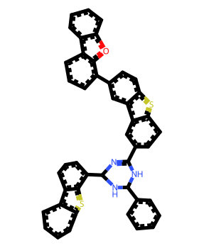 c1ccc(C2NC(c3ccc4sc5ccc(-c6cccc7c6oc6ccccc67)cc5c4c3)=NC(c3cccc4c3sc3ccccc34)N2)cc1